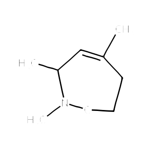 CC1=CC(C)N(C)CCC1